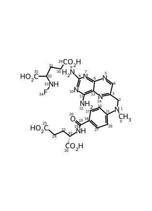 CN(Cc1cnc2nc(N)nc(N)c2n1)c1ccc(C(=O)N[C@@H](CCC(=O)O)C(=O)O)cc1.O=C(O)CCC(NF)C(=O)O